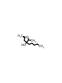 C=CCC(O)(CCCCC)C(C)O